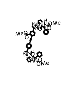 COC(=O)N[C@@H](C(=O)N1CCC[C@H]1c1ncc(-c2ccc(C#Cc3ccc(-c4cnc([C@@H]5CCCN5C(=O)[C@H](NC(=O)OC)c5ccccc5)[nH]4)cc3C(=O)OC)cc2)[nH]1)c1ccccc1